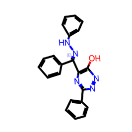 Oc1nnc(-c2ccccc2)nc1/C(=N/Nc1ccccc1)c1ccccc1